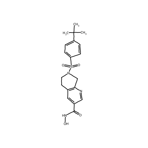 CC(C)(C)c1ccc(S(=O)(=O)N2CCc3cc(C(=O)NO)cnc3C2)cc1